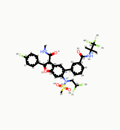 CNC(=O)c1c(-c2ccc(F)cc2)oc2cc(N(CC(F)F)S(C)(=O)=O)c(-c3cccc(C(=O)NC(C)(C)C(F)(F)F)c3)cc12